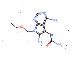 CCOCn1c(N)c([Se]C(N)=O)c2c(N)ncnc21